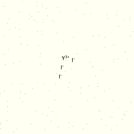 [I-].[I-].[I-].[Y+3]